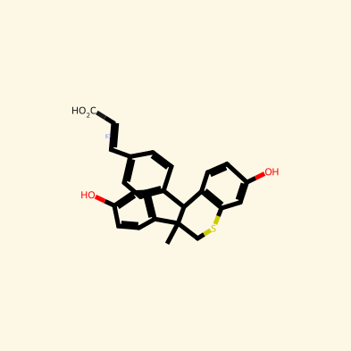 CC1(c2ccc(O)cc2)CSc2cc(O)ccc2C1c1ccc(/C=C/C(=O)O)cc1